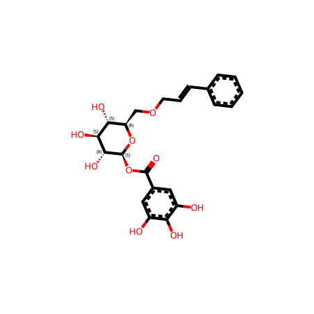 O=C(O[C@@H]1O[C@H](COCC=Cc2ccccc2)[C@@H](O)[C@H](O)[C@H]1O)c1cc(O)c(O)c(O)c1